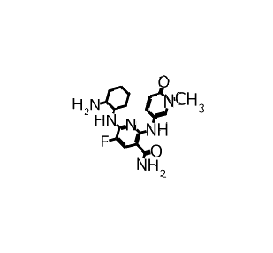 Cn1cc(Nc2nc(N[C@@H]3CCCCC3N)c(F)cc2C(N)=O)ccc1=O